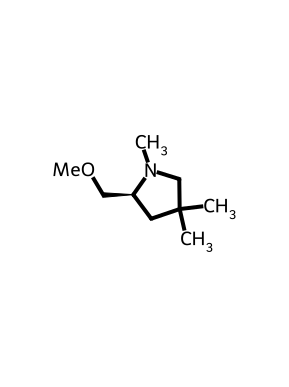 COC[C@@H]1CC(C)(C)CN1C